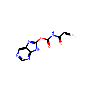 C=CC(=O)NC(=O)Oc1nc2cncnc2[nH]1